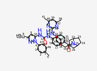 Cc1ccc(-n2nc(C(C)(C)C)cc2NC(=O)Nc2ccc(CC3CC4CCC(C3)N4C(=O)c3ccc(Nc4nc(C)cc(C)n4)cc3)cc2)cc1